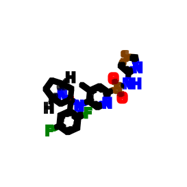 Cc1cc(S(=O)(=O)Nc2cscn2)ncc1N(C)C1C[C@H]2CC[C@@H](C1)N2Cc1cc(F)ccc1F